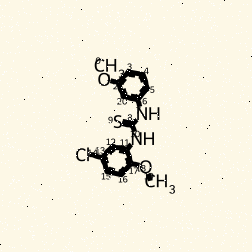 COc1cccc(NC(=S)Nc2cc(Cl)ccc2OC)c1